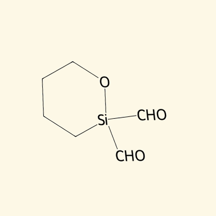 O=C[Si]1(C=O)CCCCO1